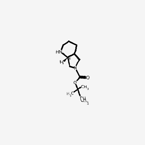 CC(C)(C)OC(=O)N1CC2CCCN[C@H]2C1